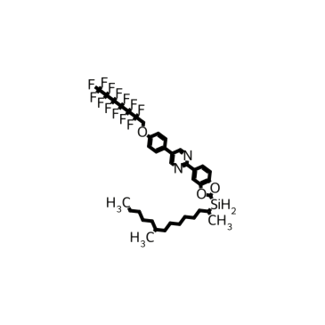 CCCCCC(C)CCCCCCC(C)[SiH2]C1Oc2ccc(-c3ncc(-c4ccc(OCC(F)(F)C(F)(F)C(F)(F)C(F)(F)C(F)(F)C(F)(F)F)cc4)cn3)cc2O1